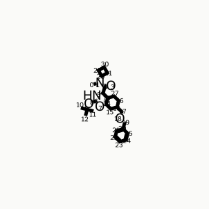 CN(C(=O)[C@@H](NC(=O)OC(C)(C)C)C1CCC(COCc2ccccc2)CC1)C1CCC1